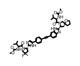 COC(=O)N[C@H](C(=O)N1C[C@@](C)(F)C[C@H]1c1ncc(-c2ccc(C#Cc3ccc4nc([C@@H]5C[C@@]6(CCCO6)CN5C(=O)[C@@H](NC(=O)OC)C(C)C)[nH]c4c3)cc2)[nH]1)C(C)C